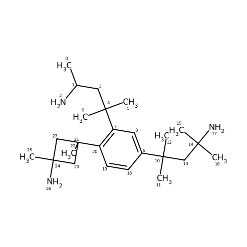 CC(N)CC(C)(C)c1cc(C(C)(C)CC(C)(C)N)ccc1C1(C)CC(C)(N)C1